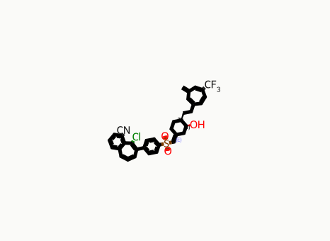 C=C1C=C(CC[C@@H]2CC/C(=C\S(=O)(=O)c3ccc(C4=C(Cl)c5c(C#N)cccc5C=C=C4)cc3)C[C@@H]2O)C=CC(C(F)(F)F)=C1